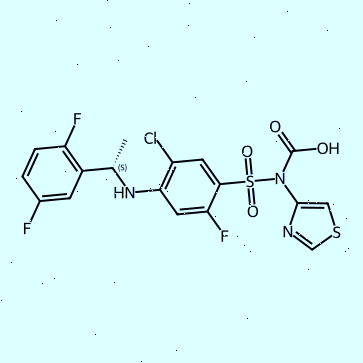 C[C@H](Nc1cc(F)c(S(=O)(=O)N(C(=O)O)c2cscn2)cc1Cl)c1cc(F)ccc1F